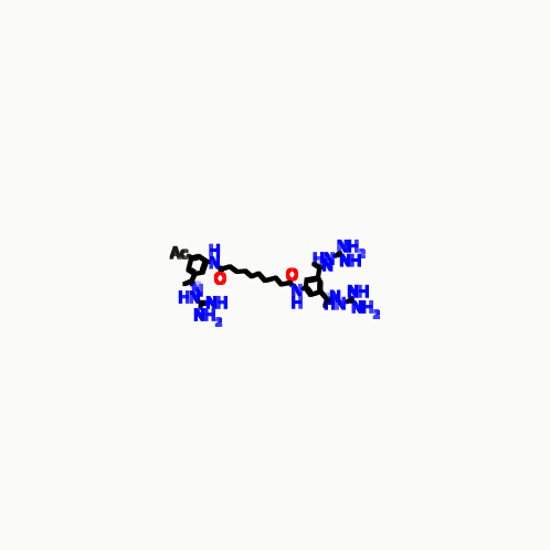 CC(=O)c1cc(NC(=O)CCCCCCCCC(=O)Nc2cc(/C(C)=N/NC(=N)N)cc(/C(C)=N/NC(=N)N)c2)cc(/C(C)=N/NC(=N)N)c1